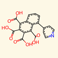 O=C(O)c1c(C(=O)O)c(C(=O)O)c2c(-c3ccncc3)cccc2c1C(=O)O